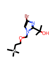 CC(C)(O)c1nc(Br)cn1COCC[Si](C)(C)C